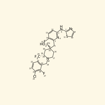 O=C(O)[C@@]1(Cc2nc(Nc3nccs3)ccc2F)CCN(Cc2cccc(Cl)c2F)[C@H](C(F)(F)F)C1